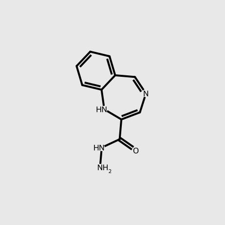 NNC(=O)C1=CN=Cc2ccccc2N1